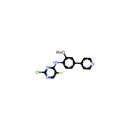 COc1cc(-c2ccncc2)ccc1Nc1nc(Cl)ncc1F